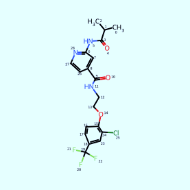 CC(C)C(=O)Nc1cc(C(=O)NCCOc2ccc(C(F)(F)F)cc2Cl)ccn1